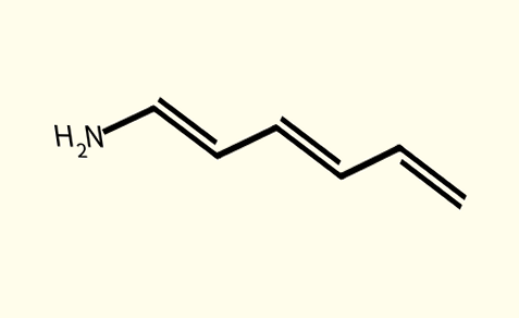 C=C/C=C/C=C/N